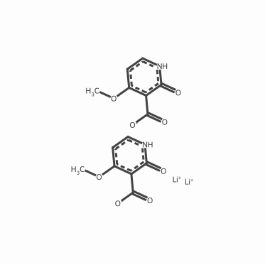 COc1cc[nH]c(=O)c1C(=O)[O-].COc1cc[nH]c(=O)c1C(=O)[O-].[Li+].[Li+]